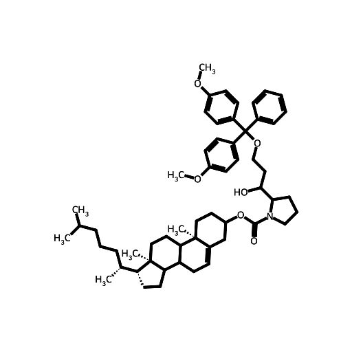 COc1ccc(C(OCCC(O)C2CCCN2C(=O)OC2CC[C@@]3(C)C(=CCC4C3CC[C@@]3(C)C4CC[C@@H]3[C@H](C)CCCC(C)C)C2)(c2ccccc2)c2ccc(OC)cc2)cc1